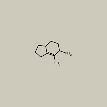 CC1=C2CCCC2CCC1N